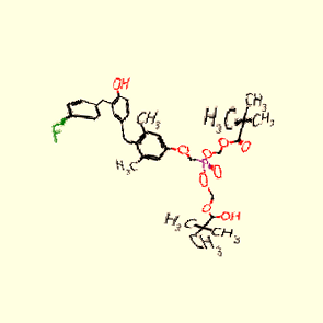 Cc1cc(OCP(=O)(OCOC(=O)C(C)(C)C)OCOC(O)C(C)(C)C)cc(C)c1Cc1ccc(O)c(Cc2ccc(F)cc2)c1